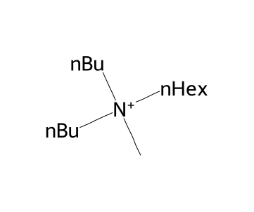 CCCCCC[N+](C)(CCCC)CCCC